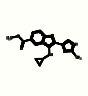 COC(=O)c1ccc2nc(-c3c[nH]c(C)n3)c(NC3CC3)n2c1